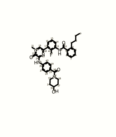 CCCCc1ccccc1C(=O)Nc1cccc(-c2cn(C)c(=O)c(Nc3ccc(C(=O)N4CCC(O)CC4)cc3)n2)c1F